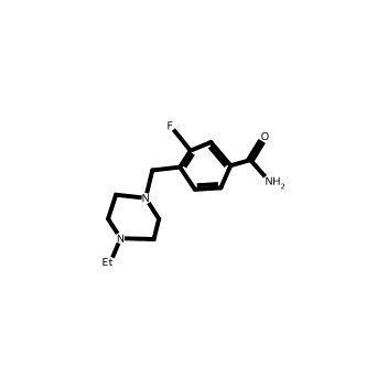 CCN1CCN(Cc2ccc(C(N)=O)cc2F)CC1